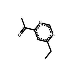 CCc1cc(C(C)=O)ncn1